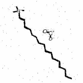 CCCCCCCCCCCCCCCC[N+](C)(C)C.[O-][Cl+][O-]